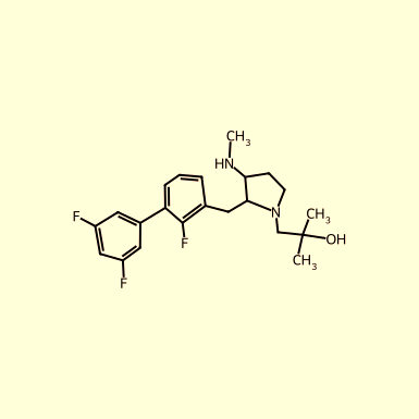 CNC1CCN(CC(C)(C)O)C1Cc1cccc(-c2cc(F)cc(F)c2)c1F